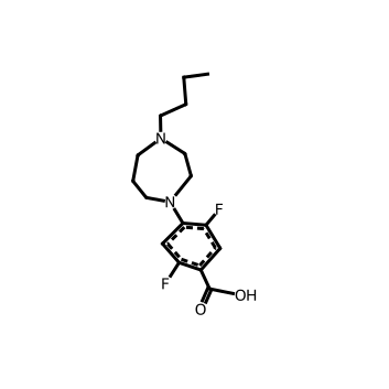 CCCCN1CCCN(c2cc(F)c(C(=O)O)cc2F)CC1